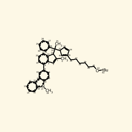 CC1=Cc2c(-c3ccc4c(c3)c3ccccc3n4C)cccc2C1C(C)(c1ccccc1)C1C=CC(CCCCCCOC(C)(C)C)=C1